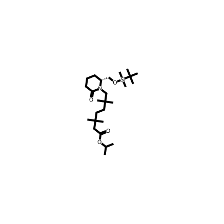 CC(C)OC(=O)CC(C)(C)CCC(C)(C)CN1C(=O)CCC[C@@H]1CO[Si](C)(C)C(C)(C)C